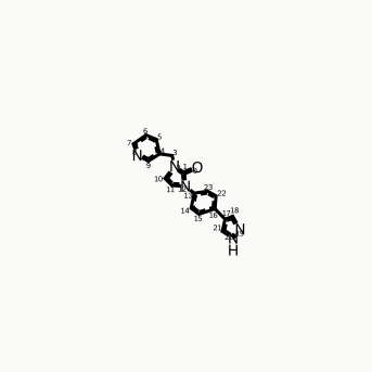 O=c1n(Cc2cccnc2)ccn1-c1ccc(-c2cn[nH]c2)cc1